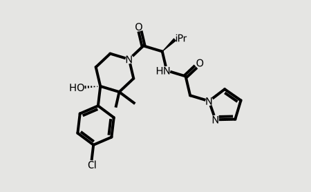 CC(C)[C@@H](NC(=O)Cn1cccn1)C(=O)N1CC[C@](O)(c2ccc(Cl)cc2)C(C)(C)C1